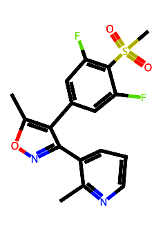 Cc1ncccc1-c1noc(C)c1-c1cc(F)c(S(C)(=O)=O)c(F)c1